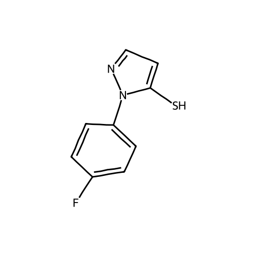 Fc1ccc(-n2nccc2S)cc1